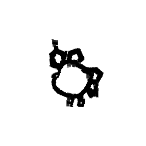 O=C1NCCCOc2ccc(F)cc2[C@@H]2CCCN2c2ccn3ncc1c3n2